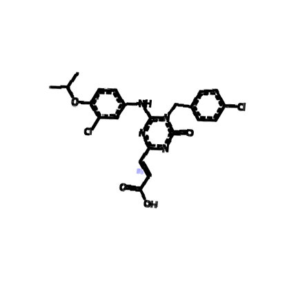 CC(C)Oc1ccc(Nc2nc(/C=C/C(=O)O)nc(=O)n2Cc2ccc(Cl)cc2)cc1Cl